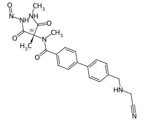 CNC(=O)[C@@](C)(C(=O)NN=O)N(C)C(=O)c1ccc(-c2ccc(CNCC#N)cc2)cc1